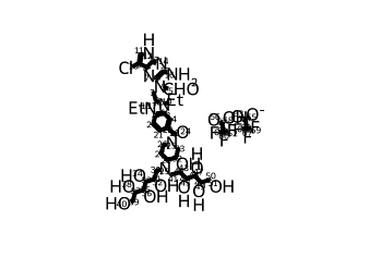 CCn1c(CN(C=O)c2nc3c(Cl)c[nH]c3nc2N)[n+](CC)c2ccc(C(=O)N3CCC(N(C[C@H](O)[C@@H](O)[C@H](O)[C@H](O)CO)C[C@H](O)[C@@H](O)[C@H](O)[C@H](O)CO)CC3)cc21.O=C(O)C(F)(F)F.O=C([O-])C(F)(F)F